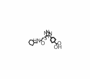 O=C(CSc1nnnn1-c1ccc(C(=O)O)cc1)NCC1CCCCC1